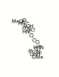 C=C(C)[C@H](NC(=O)OC)C(O)N1[C@@H](C)CC[C@H]1c1nc(Cl)c(-c2ccc(-c3ccc4cc(-c5cnc([C@@H]6CC[C@H](C)N6C(=O)[C@@H](NC(=O)OC)C(C)C)[nH]5)ccc4c3)cc2)[nH]1